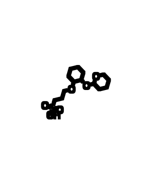 O=S(=O)(O)CCCOC1CCCCC1OC1CCCCO1